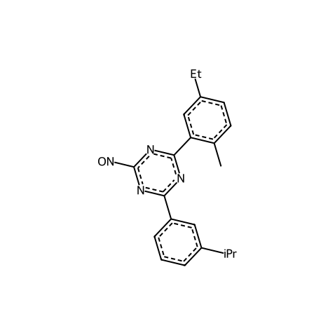 CCc1ccc(C)c(-c2nc(N=O)nc(-c3cccc(C(C)C)c3)n2)c1